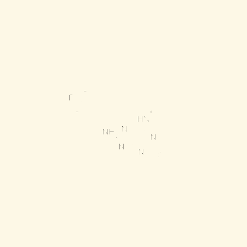 C[C@@H](Nc1nc(Cl)nc2ncn(Cc3ccc(C(F)(F)F)cc3N)c12)C1CCC1